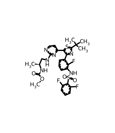 COC(=O)N[C@@H](C)CNc1nccc(-c2sc(C(C)(C)C)nc2-c2cccc(NS(=O)(=O)c3c(F)cccc3F)c2F)n1